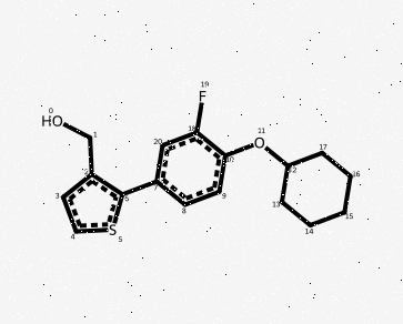 OCc1ccsc1-c1ccc(OC2CCCCC2)c(F)c1